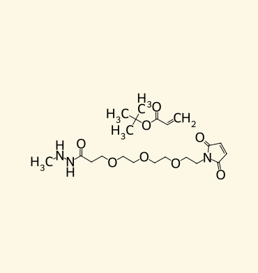 C=CC(=O)OC(C)(C)C.CNNC(=O)CCOCCOCCOCCN1C(=O)C=CC1=O